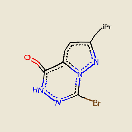 CC(C)c1cc2c(=O)[nH]nc(Br)n2n1